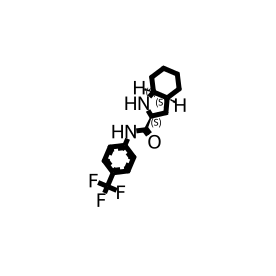 O=C(Nc1ccc(C(F)(F)F)cc1)[C@@H]1C[C@@H]2CCCC[C@@H]2N1